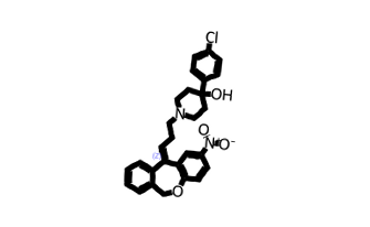 O=[N+]([O-])c1ccc2c(c1)/C(=C\CCN1CCC(O)(c3ccc(Cl)cc3)CC1)c1ccccc1CO2